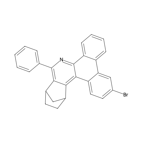 Brc1ccc2c(c1)c1ccccc1c1nc(-c3ccccc3)c3c(c21)C1CCC3C1